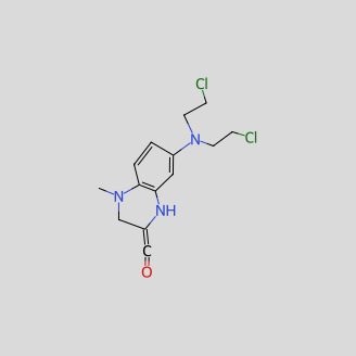 CN1CC(=C=O)Nc2cc(N(CCCl)CCCl)ccc21